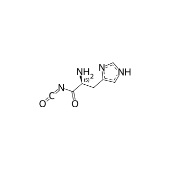 N[C@@H](Cc1c[nH]cn1)C(=O)N=C=O